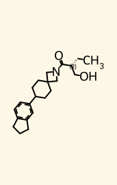 CC[C@H](CO)C(=O)N1CC2(CCC(c3ccc4c(c3)CCC4)CC2)C1